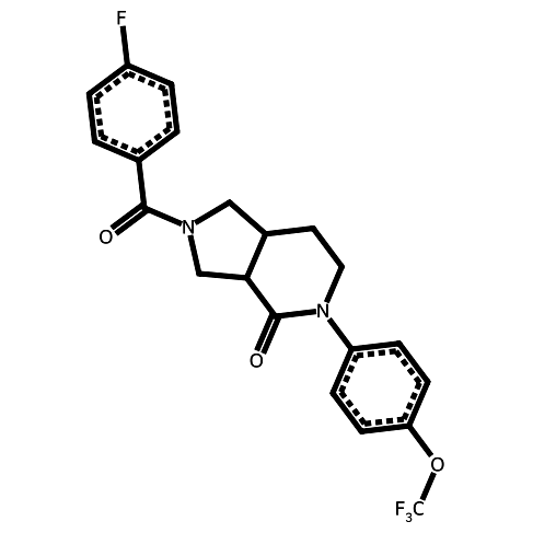 O=C(c1ccc(F)cc1)N1CC2CCN(c3ccc(OC(F)(F)F)cc3)C(=O)C2C1